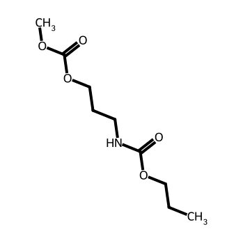 CCCOC(=O)NCCCOC(=O)OC